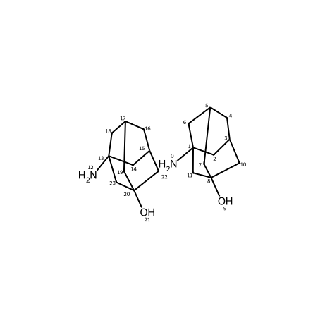 NC12CC3CC(C1)CC(O)(C3)C2.NC12CC3CC(C1)CC(O)(C3)C2